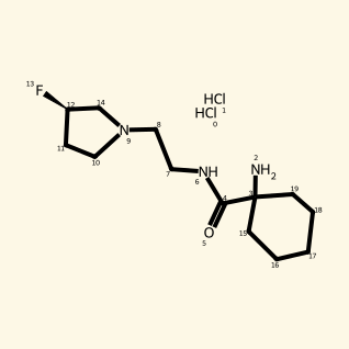 Cl.Cl.NC1(C(=O)NCCN2CC[C@@H](F)C2)CCCCC1